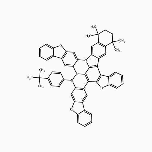 CC(C)(C)c1ccc(N2B3c4cc5c(cc4-n4c6cc7c(cc6c6c8c(oc9ccccc98)c(c3c64)-c3cc4c(cc32)oc2ccccc24)C(C)(C)CCC7(C)C)sc2ccccc25)cc1